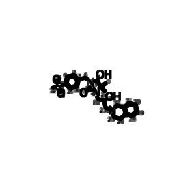 CC1(C)C(O)N(Cc2ccc(S(C)(=O)=O)cc2)C(=O)N1CC(O)CN1CCc2ccccc2C1